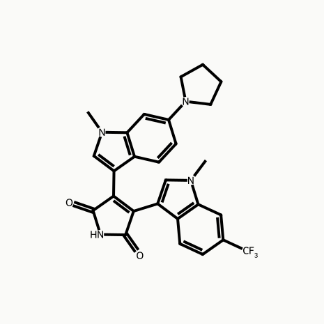 Cn1cc(C2=C(c3cn(C)c4cc(C(F)(F)F)ccc34)C(=O)NC2=O)c2ccc(N3CCCC3)cc21